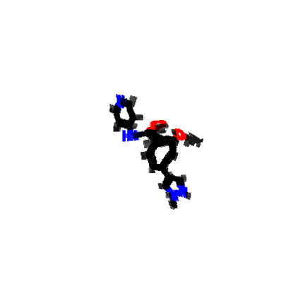 CC(C)Oc1cc(-c2cnn(C)c2)ccc1C(=O)Nc1ccncc1